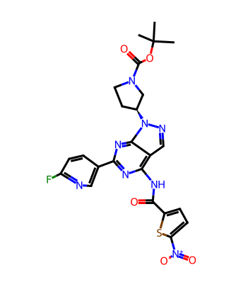 CC(C)(C)OC(=O)N1CC[C@H](n2ncc3c(NC(=O)c4ccc([N+](=O)[O-])s4)nc(-c4ccc(F)nc4)nc32)C1